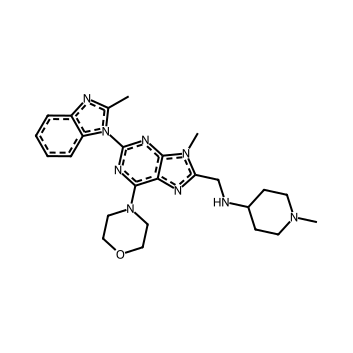 Cc1nc2ccccc2n1-c1nc(N2CCOCC2)c2nc(CNC3CCN(C)CC3)n(C)c2n1